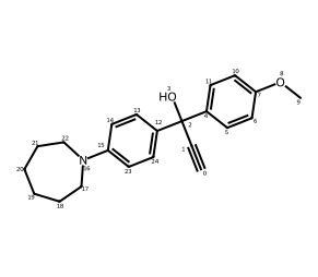 C#CC(O)(c1ccc(OC)cc1)c1ccc(N2CCCCCC2)cc1